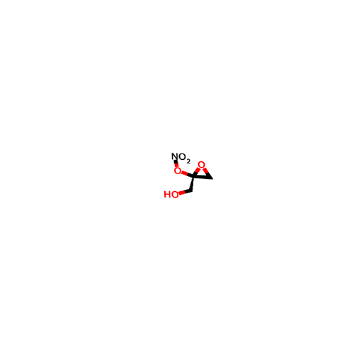 O=[N+]([O-])O[C@@]1(CO)CO1